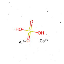 O=S(=O)(O)O.[Al+3].[Ca+2]